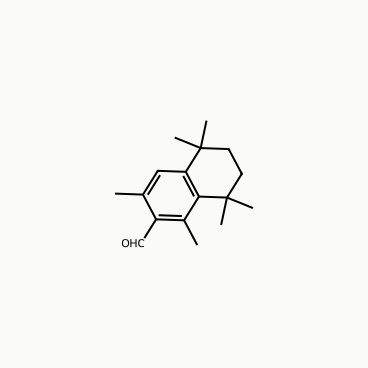 Cc1cc2c(c(C)c1C=O)C(C)(C)CCC2(C)C